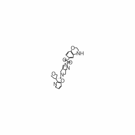 O=C(N1Cc2cn(S(=O)(=O)c3ccc4c(c3)NCCO4)nc2C1)[C@]1(c2ccccn2)CCOC1